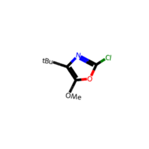 COc1oc(Cl)nc1C(C)(C)C